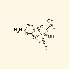 C[C@@H](O)[C@H]1O[C@@H](n2ccc(N)nc2=O)C(N)(C#CCl)[C@H]1O